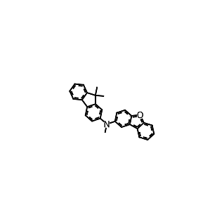 CN(c1ccc2c(c1)C(C)(C)c1ccccc1-2)c1ccc2oc3ccccc3c2c1